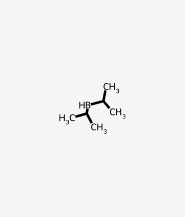 CC(C)BC(C)C